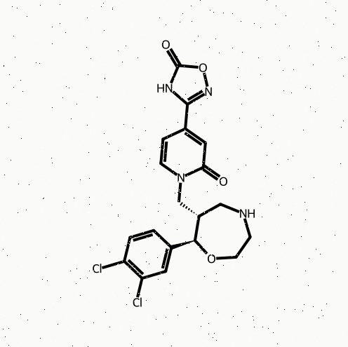 O=c1[nH]c(-c2ccn(C[C@@H]3CNCCO[C@H]3c3ccc(Cl)c(Cl)c3)c(=O)c2)no1